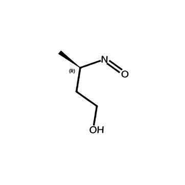 C[C@H](CCO)N=O